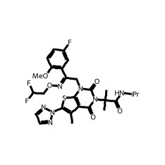 COc1ccc(F)cc1/C(Cn1c(=O)n(C(C)(C)C(=O)NC(C)C)c(=O)c2c(C)c(-n3nccn3)sc21)=N\OCC(F)F